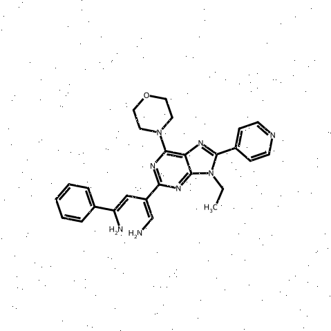 CCn1c(-c2ccncc2)nc2c(N3CCOCC3)nc(C(/C=C(\N)c3ccccc3)=C/N)nc21